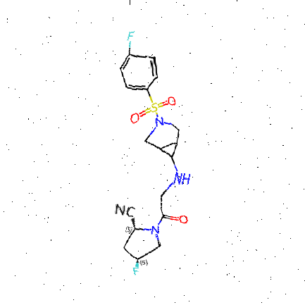 N#C[C@@H]1C[C@H](F)CN1C(=O)CNC1C2CN(S(=O)(=O)c3ccc(F)cc3)CC21